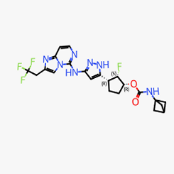 O=C(NC12CC(C1)C2)O[C@@H]1CC[C@H](c2cc(Nc3nccc4nc(CC(F)(F)F)cn34)n[nH]2)[C@@H]1F